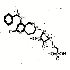 C[C@@H](Nc1cc(Cl)nc2c1C=N[C@@H](C[C@@H]1O[C@H](COCP(=O)(O)O)[C@@H](O)[C@H]1O)CC2)c1ccccc1